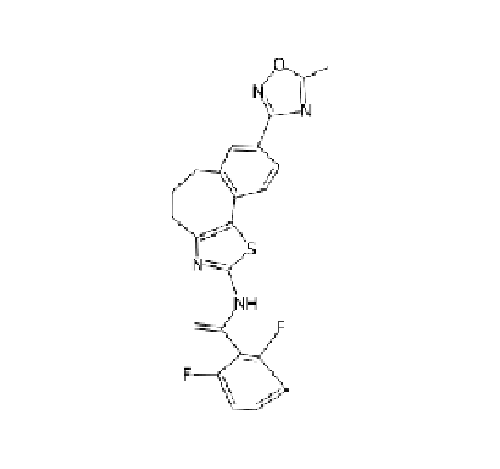 C=C(Nc1nc2c(s1)-c1ccc(-c3noc(C)n3)cc1CCC2)c1c(F)cccc1F